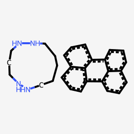 C1CCNNCCCNNCC1.c1cc2cccc3c4cccc5cccc(c(c1)c23)c54